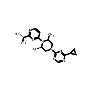 CC1CN(c2ncnc(C3CC3)n2)C[C@@H](C)N1c1ccnc([C@@H](C)O)n1